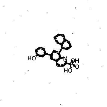 O=P(O)(O)c1ccc2cc(-c3cccc(O)c3)cc(-c3cccc4ccccc34)c2n1